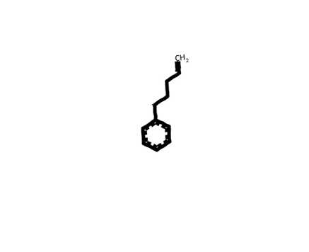 C=CCC[C]c1ccccc1